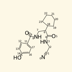 N#CCNC(=O)C(CNC(=O)c1ccc(O)cc1)C1CCCCC1